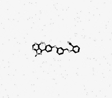 Cn1nc(-c2ccc(Oc3cccc(COc4ccccc4C#N)c3)cc2)c2c(N)ncnc21